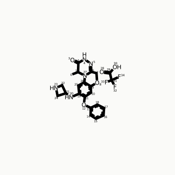 CC1C(=O)NN=C2COc3cc(Oc4ccccc4)c(NC4CNC4)cc3N21.O=C(O)C(F)(F)F